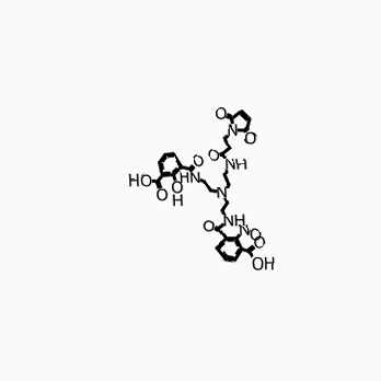 O=Nc1c(C(=O)O)cccc1C(=O)NCCN(CCNC(=O)CCN1C(=O)C=CC1=O)CCNC(=O)c1cccc(C(=O)O)c1O